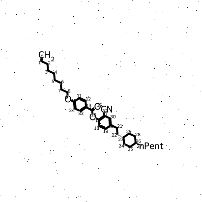 C=CCCCCCCCOc1ccc(C(=O)Oc2ccc(CC[C@H]3CC[C@H](CCCCC)CC3)cc2C#N)cc1